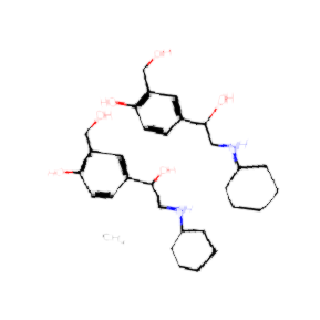 C.OCc1cc(C(O)CNC2CCCCC2)ccc1O.OCc1cc(C(O)CNC2CCCCC2)ccc1O